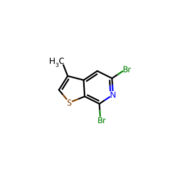 Cc1csc2c(Br)nc(Br)cc12